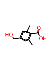 Cc1cc(CO)cc(C)c1C(=O)O